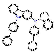 c1ccc(-c2ccc(N(c3ccc4c5ccccc5n(-c5ccc(-c6ccccc6)cc5)c4c3)c3cccc4ccccc34)cc2)cc1